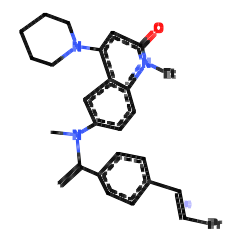 C=C(c1ccc(/C=C/C(C)C)cc1)N(C)c1ccc2c(c1)c(N1CCCCC1)cc(=O)n2CC